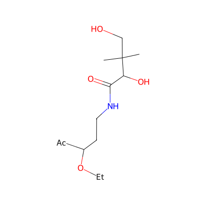 CCOC(CCNC(=O)C(O)C(C)(C)CO)C(C)=O